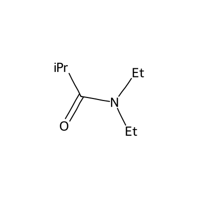 CCN(CC)C(=O)C(C)C